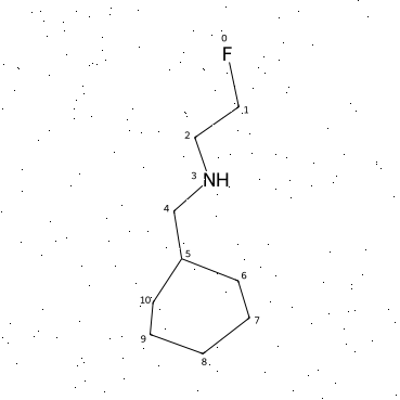 FCCNCC1CCCCC1